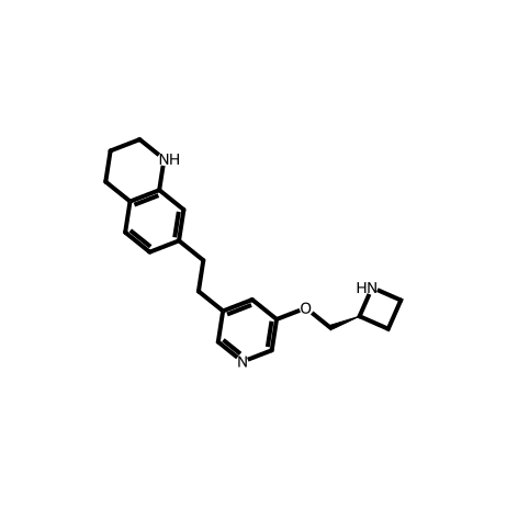 c1cc2c(cc1CCc1cncc(OC[C@@H]3CCN3)c1)NCCC2